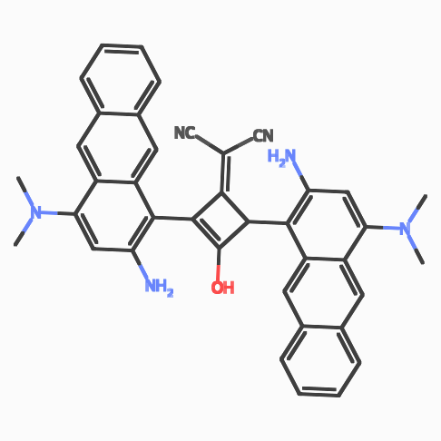 CN(C)c1cc(N)c(C2=C(O)C(c3c(N)cc(N(C)C)c4cc5ccccc5cc34)C2=C(C#N)C#N)c2cc3ccccc3cc12